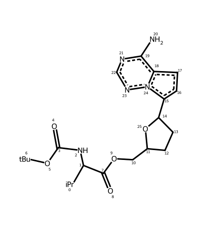 CC(C)C(NC(=O)OC(C)(C)C)C(=O)OCC1CCC(c2ccc3c(N)ncnn23)O1